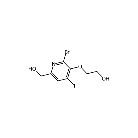 OCCOc1c(I)cc(CO)nc1Br